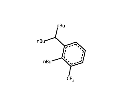 CCCC[C](CCCC)c1cccc(C(F)(F)F)c1CCCC